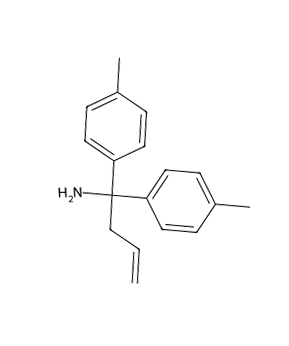 C=CCC(N)(c1ccc(C)cc1)c1ccc(C)cc1